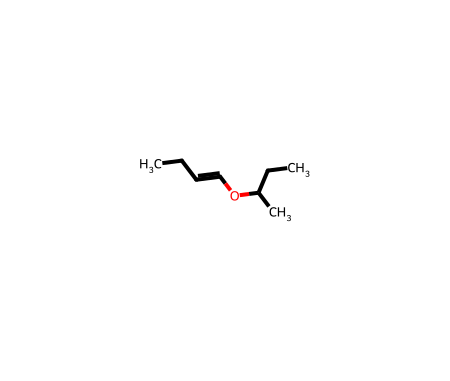 CCC=COC(C)CC